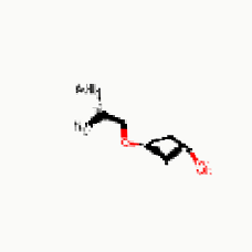 CC(=O)N[C@@H](C)CO[C@H]1C[C@@H](O)C1